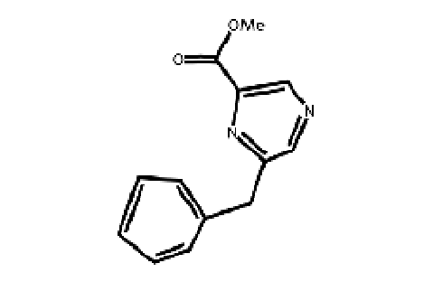 COC(=O)c1cncc(Cc2ccccc2)n1